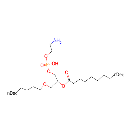 CCCCCCCCCCCCCCCCCC(=O)O[C@H](COCCCCCCCCCCCCCC)COP(=O)(O)OCCN